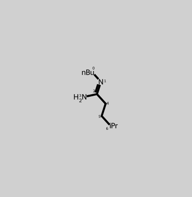 CCCC/N=C(\N)CCC(C)C